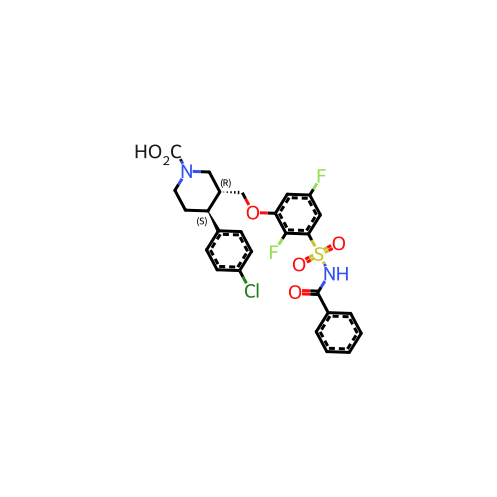 O=C(NS(=O)(=O)c1cc(F)cc(OC[C@H]2CN(C(=O)O)CC[C@@H]2c2ccc(Cl)cc2)c1F)c1ccccc1